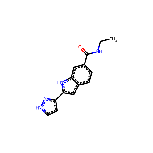 CCNC(=O)c1ccc2cc(-c3cc[nH]n3)[nH]c2c1